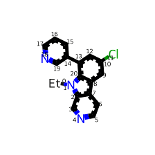 CCn1c2cnccc2c2cc(Cl)cc(-c3cccnc3)c21